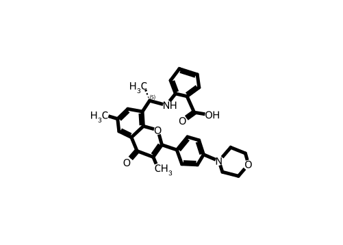 Cc1cc([C@H](C)Nc2ccccc2C(=O)O)c2oc(-c3ccc(N4CCOCC4)cc3)c(C)c(=O)c2c1